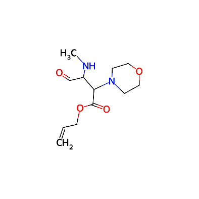 C=CCOC(=O)C(C(C=O)NC)N1CCOCC1